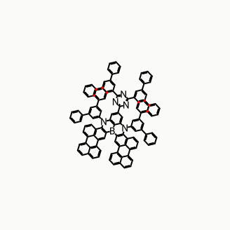 c1ccc(-c2cc(-c3ccccc3)cc(-c3nc(-c4cc(-c5ccccc5)cc(-c5ccccc5)c4)nc(-c4cc5c6c(c4)N(c4cc(-c7ccccc7)cc(-c7ccccc7)c4)c4c(cc7c8cccc9cccc(c%10cccc4c%107)c98)B6c4cc6c7cccc8cccc(c9cccc(c4N5c4cc(-c5ccccc5)cc(-c5ccccc5)c4)c96)c87)n3)c2)cc1